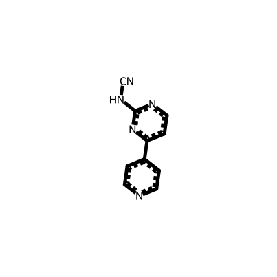 N#CNc1nccc(-c2ccncc2)n1